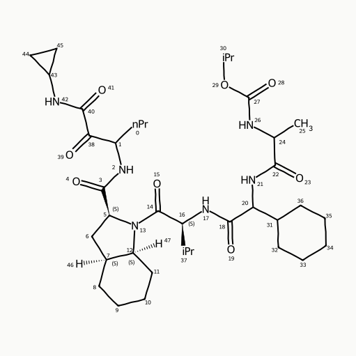 CCCC(NC(=O)[C@@H]1C[C@@H]2CCCC[C@@H]2N1C(=O)[C@@H](NC(=O)C(NC(=O)C(C)NC(=O)OC(C)C)C1CCCCC1)C(C)C)C(=O)C(=O)NC1CC1